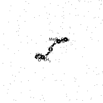 COc1cc(-c2nc3cc(F)ccc3o2)ccc1OCCCCN1CCN(CCCCOc2cc3c(cc2C)C(=O)N2CCC[C@H]2C=N3)CC1